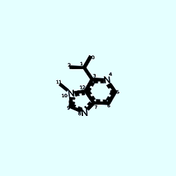 CC(C)c1nccc2ncn(C)c12